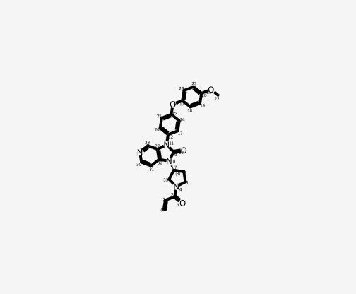 C=CC(=O)N1CC[C@@H](n2c(=O)n(-c3ccc(Oc4ccc(OC)cc4)cc3)c3cnccc32)C1